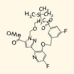 COC(=O)c1cc(-c2ncc(F)cc2OCc2cc(F)cc(S(C)(=O)=O)c2)nn1COCC[Si](C)(C)C